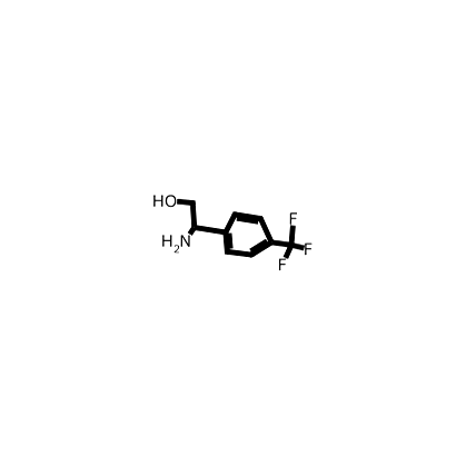 NC(CO)c1ccc(C(F)(F)F)cc1